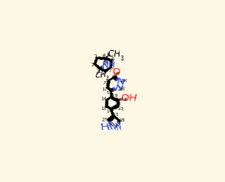 C[C@]12CC[C@](C)(C[C@H](Oc3ccc(-c4ccc(-c5cn[nH]c5)cc4O)nn3)C1)N2